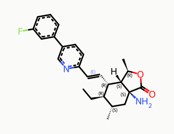 CC[C@H]1[C@H](/C=C/c2ccc(-c3cccc(F)c3)cn2)[C@@H]2[C@@H](C)OC(=O)[C@]2(N)C[C@@H]1C